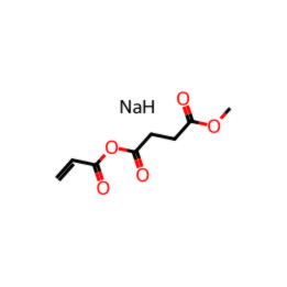 C=CC(=O)OC(=O)CCC(=O)OC.[NaH]